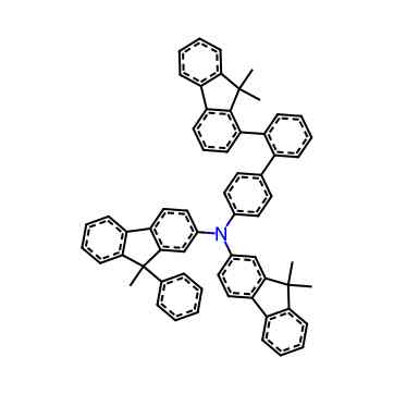 CC1(C)c2ccccc2-c2ccc(N(c3ccc(-c4ccccc4-c4cccc5c4C(C)(C)c4ccccc4-5)cc3)c3ccc4c(c3)C(C)(c3ccccc3)c3ccccc3-4)cc21